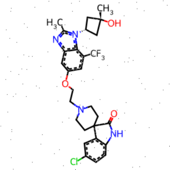 Cc1nc2cc(OCCN3CCC4(CC3)C(=O)Nc3ccc(Cl)cc34)cc(C(F)(F)F)c2n1[C@H]1C[C@@](C)(O)C1